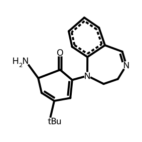 CC(C)(C)C1=CC(N)C(=O)C(N2CCN=Cc3ccccc32)=C1